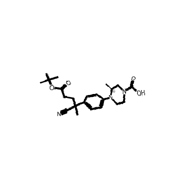 C[C@H]1CN(C(=O)O)CCN1c1ccc(C(C)(C#N)CCC(=O)OC(C)(C)C)cc1